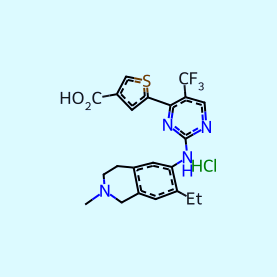 CCc1cc2c(cc1Nc1ncc(C(F)(F)F)c(-c3cc(C(=O)O)cs3)n1)CCN(C)C2.Cl